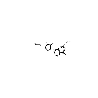 CCCSc1nc(Cl)c2nnn([C@@H]3C[C@H](OCCO)[C@@H](O)C3O)c2n1